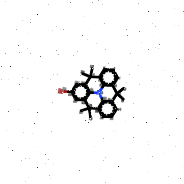 CC1(C)c2cccc3c2N2c4c1cccc4C(C)(C)c1cc(Br)cc(c12)C3(C)C